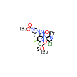 CC(C)c1ncc(Cl)c(OCCO[Si](C)(C)C(C)(C)C)c1-n1c(=O)nc(N2C[C@@H](C)N(C(=O)OC(C)(C)C)C[C@@H]2C)c2cc(F)c(Cl)nc21